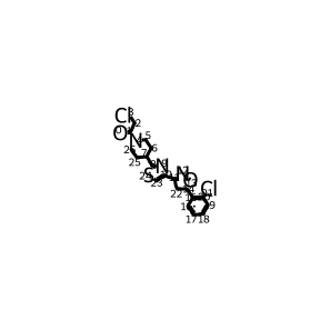 O=C(CCl)N1CCC(c2nc(C3=NOC(c4[c]cccc4Cl)C3)cs2)CC1